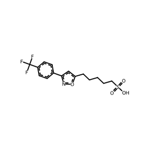 O=S(=O)(O)CCCCCc1cc(-c2ccc(C(F)(F)F)cc2)no1